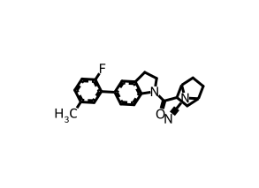 Cc1ccc(F)c(-c2ccc3c(c2)CCN3C(=O)C2CC3CCC2N3C#N)c1